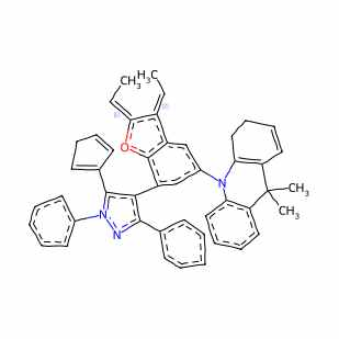 C/C=c1\c(=C/C)oc2c(-c3c(-c4ccccc4)nn(-c4ccccc4)c3C3=CCC=C3)cc(N3C4=C(C=CCC4)C(C)(C)c4ccccc43)cc12